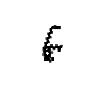 CCCCCCCCCCCCCCCCCc1nc2cc(C(=O)O)ccc2n1CCCN(C)C